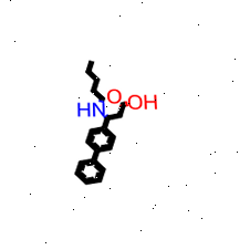 CCCCCNC(CC(=O)O)c1ccc(-c2ccccc2)cc1